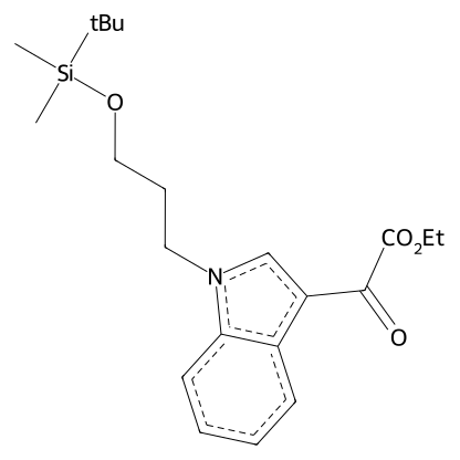 CCOC(=O)C(=O)c1cn(CCCO[Si](C)(C)C(C)(C)C)c2ccccc12